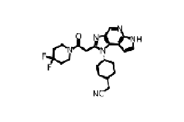 N#CC[C@H]1CC[C@H](n2c(CC(=O)N3CCC(F)(F)CC3)nc3cnc4[nH]ccc4c32)CC1